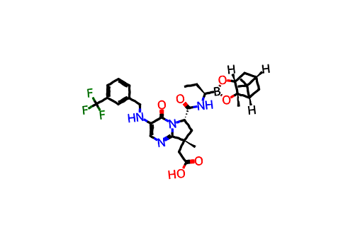 CC[C@H](NC(=O)[C@@H]1C[C@](C)(CC(=O)O)c2ncc(NCc3cccc(C(F)(F)F)c3)c(=O)n21)B1O[C@@H]2C[C@@H]3C[C@@H](C3(C)C)[C@]2(C)O1